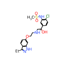 CCc1n[nH]c2cc(OCCNC[C@H](O)c3ccc(Cl)c(NS(C)(=O)=O)c3)ccc12